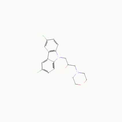 OC(CN1CCOCC1)Cn1c2ccc(Cl)cc2c2cc(Cl)ccc21